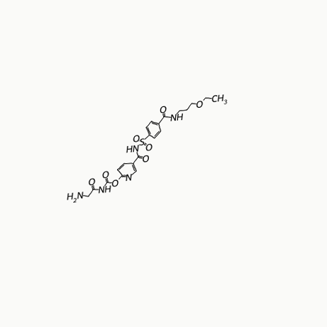 CCOCCCNC(=O)c1ccc(S(=O)(=O)NC(=O)c2ccc(OC(=O)NC(=O)CN)nc2)cc1